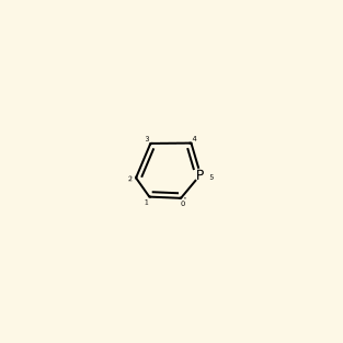 [c]1ccccp1